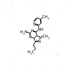 CCCC1=NN(C)C2C(Nc3cc(C)ccn3)=NC(N)=NC12